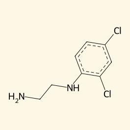 NCCNc1ccc(Cl)cc1Cl